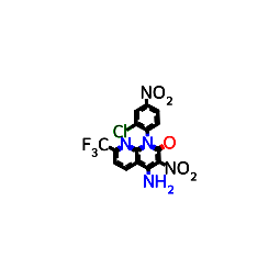 Nc1c([N+](=O)[O-])c(=O)n(-c2ccc([N+](=O)[O-])cc2Cl)c2nc(C(F)(F)F)ccc12